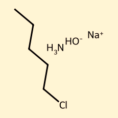 CCCCCCl.N.[Na+].[OH-]